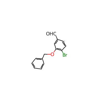 O=Cc1[c]cc(Br)c(OCc2ccccc2)c1